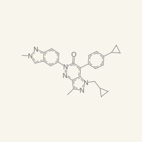 Cc1nn(CC2CC2)c2c(-c3ccc(C4CC4)cc3)c(=O)n(-c3ccc4nn(C)cc4c3)nc12